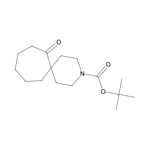 CC(C)(C)OC(=O)N1CCC2(CCCCCC2=O)CC1